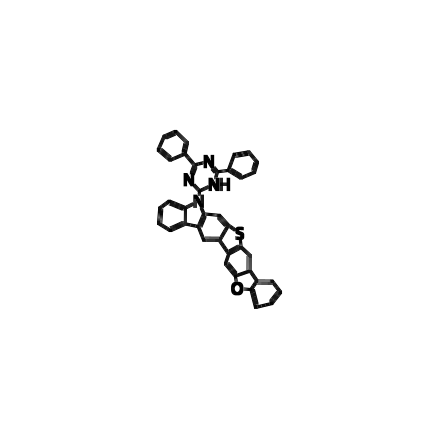 c1ccc(C2=NC(n3c4ccccc4c4cc5c(cc43)sc3cc4c(cc35)oc3ccccc34)NC(c3ccccc3)=N2)cc1